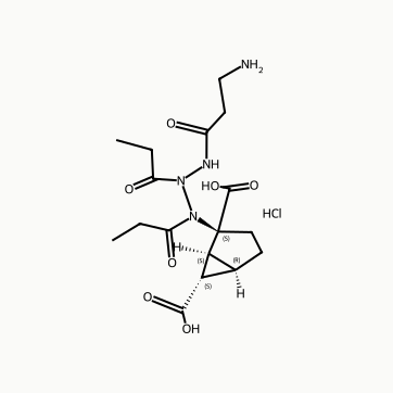 CCC(=O)N(NC(=O)CCN)N(C(=O)CC)[C@@]1(C(=O)O)CC[C@H]2[C@H](C(=O)O)[C@H]21.Cl